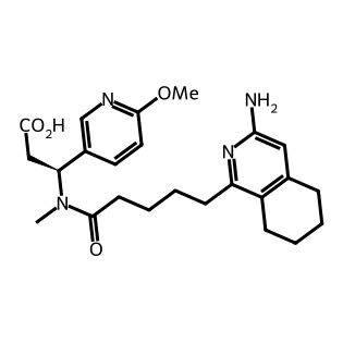 COc1ccc([C@H](CC(=O)O)N(C)C(=O)CCCCc2nc(N)cc3c2CCCC3)cn1